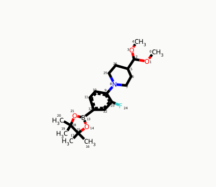 COC(OC)C1CCN(c2ccc(B3OC(C)(C)C(C)(C)O3)cc2F)CC1